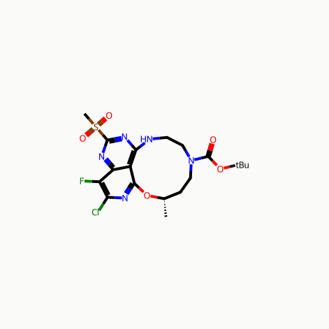 C[C@H]1CCN(C(=O)OC(C)(C)C)CCNc2nc(S(C)(=O)=O)nc3c(F)c(Cl)nc(c23)O1